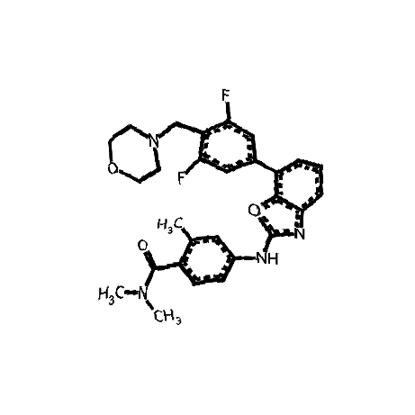 Cc1cc(Nc2nc3cccc(-c4cc(F)c(CN5CCOCC5)c(F)c4)c3o2)ccc1C(=O)N(C)C